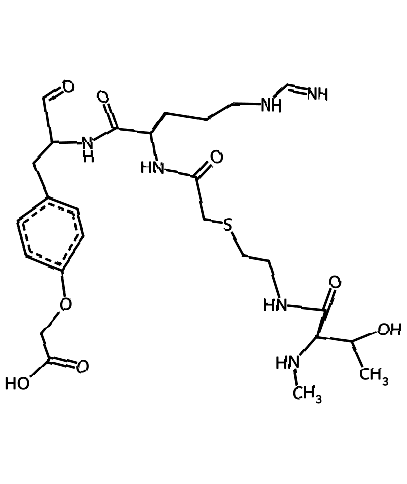 CNC(C(=O)NCCSCC(=O)NC(CCCNC=N)C(=O)NC(C=O)Cc1ccc(OCC(=O)O)cc1)C(C)O